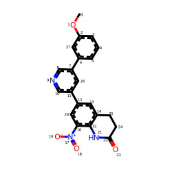 COc1cccc(-c2cncc(-c3cc4c(c([N+](=O)[O-])c3)NC(=O)CC4)c2)c1